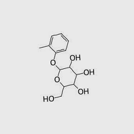 Cc1ccccc1OC1OC(CO)C(O)C(O)C1O